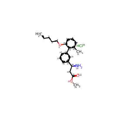 C=CCCCOc1cccc(C)c1-c1cccc([C@@H](N)CC(=O)OC)c1.Cl